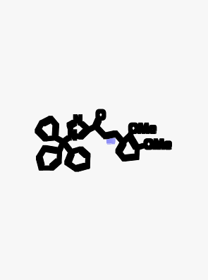 COc1cccc(/C=C/C(=O)c2cn(C(c3ccccc3)(c3ccccc3)c3ccccc3)cn2)c1OC